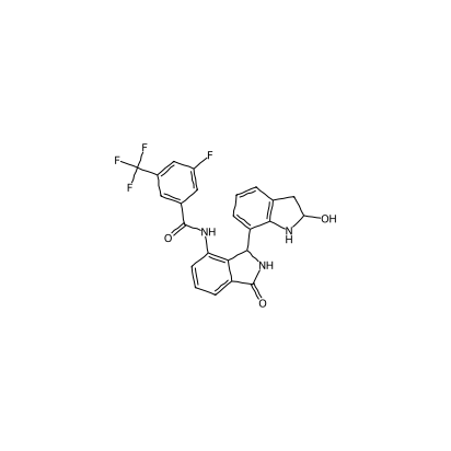 O=C(Nc1cccc2c1C(c1cccc3c1NC(O)C3)NC2=O)c1cc(F)cc(C(F)(F)F)c1